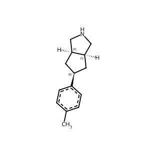 Cc1ccc([C@H]2C[C@H]3CNC[C@H]3C2)cc1